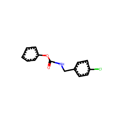 O=C(NCc1[c]cc(Cl)cc1)Oc1ccccc1